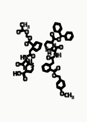 CC(=O)OCOC(=O)c1ccccc1CC(=O)NC1C(=O)N2C(C(=O)O)=CCS[C@H]12.COc1ccc(COC(=O)c2ccccc2CC(=O)NC2C(=O)N3C(C(=O)OC(c4ccccc4)c4ccccc4)=CCS[C@H]23)cc1